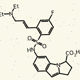 CCN(CC)CC=Cc1cc(F)ccc1S(=O)(=O)Nc1ccc2cc3n(c2c1)C(C(=O)O)CC3